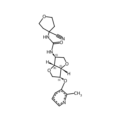 Cc1ncccc1O[C@H]1CO[C@H]2[C@@H]1OC[C@@H]2NC(=O)NC1(C#N)CCOCC1